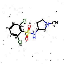 N#CN1CCC(NS(=O)(=O)c2c(Cl)cccc2Cl)C1